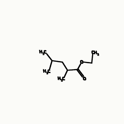 CCOC(=O)C(C)CC(C)C